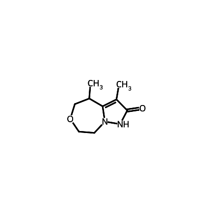 Cc1c2n([nH]c1=O)CCOCC2C